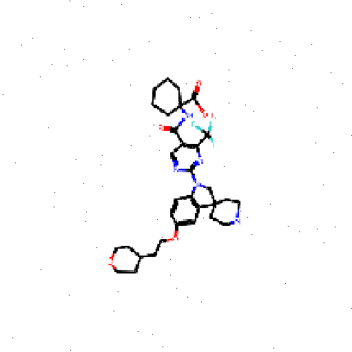 O=C(NC1(C(=O)O)CCCCC1)c1cnc(N2CC3(CCNCC3)c3cc(OCCC4CCOCC4)ccc32)nc1C(F)(F)F